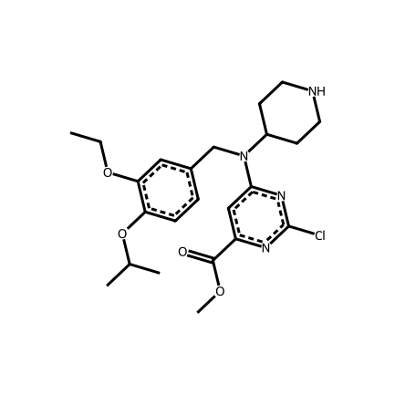 CCOc1cc(CN(c2cc(C(=O)OC)nc(Cl)n2)C2CCNCC2)ccc1OC(C)C